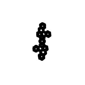 c1ccc2c(c1)Cc1ccc3c4cc5c(cc4n4c3c1B2c1ccccc1-4)c1ccc2c3c1n5-c1ccccc1B3c1ccccc1C2